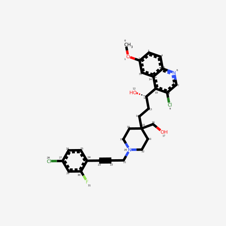 COc1ccc2ncc(Cl)c([C@@H](O)CCC3(CO)CCN(CC#Cc4ccc(Cl)cc4F)CC3)c2c1